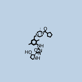 Cc1cc(CN2CCN(C(=O)C3CCCC3)[C@@H](C)C2)c(C)c(Nc2nnc([C@H]3NCC[C@H]3O)o2)c1